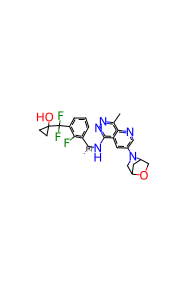 Cc1nnc(N[C@H](C)c2cccc(C(F)(F)C3(O)CC3)c2F)c2cc(N3CC4CC3CO4)cnc12